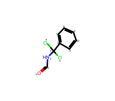 O=[C]NC(Cl)(Cl)c1ccccc1